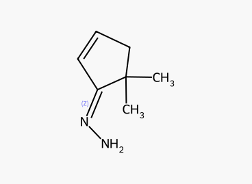 CC1(C)CC=C/C1=N/N